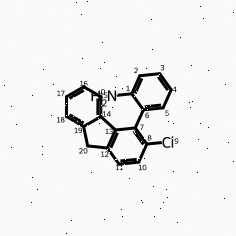 Nc1ccccc1-c1c(Cl)ccc2c1-c1ccccc1C2